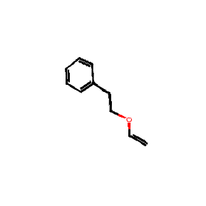 C=COCCc1ccccc1